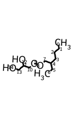 CCCCC(CC)COOCC(O)CO